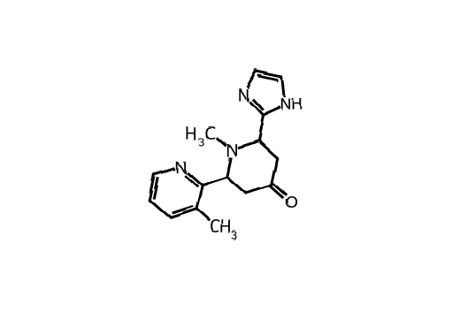 Cc1cccnc1C1CC(=O)CC(c2ncc[nH]2)N1C